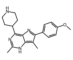 COc1ccc(-c2nc3c(C4CCNCC4)nc(C)[nH]c-3c2C)cc1